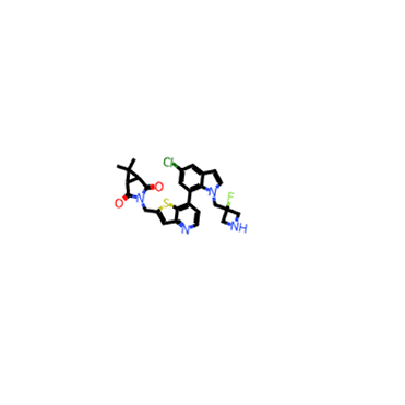 CC1(C)C2C(=O)N(Cc3cc4nccc(-c5cc(Cl)cc6ccn(CC7(F)CNC7)c56)c4s3)C(=O)C21